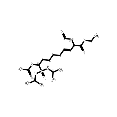 CCOC(=O)C(C=CCCCCC(OC(C)=O)P(=O)(OC(C)C)OC(C)C)NC=O